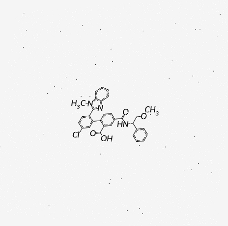 COCC(NC(=O)c1ccc(-c2cc(Cl)ccc2-c2nc3ccccc3n2C)c(C(=O)O)c1)c1ccccc1